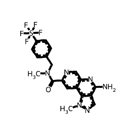 CN(Cc1ccc(S(F)(F)(F)(F)F)cc1)C(=O)c1cc2c(cn1)nc(N)c1cnn(C)c12